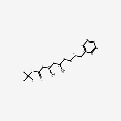 CC(C)(C)OC(=O)C[C@H](O)CC(O)CCOCc1ccccc1